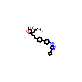 C=C(C)CC1(CCCc2ccc(-c3ccc(NC4=NN=C(C5CCC5)C4)cc3)cc2)CCOC1